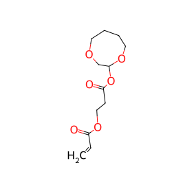 C=CC(=O)OCCC(=O)OC1COCCCCO1